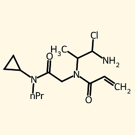 C=CC(=O)N(CC(=O)N(CCC)C1CC1)C(C)C(N)Cl